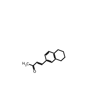 CC(=O)C=Cc1ccc2c(c1)CCCC2